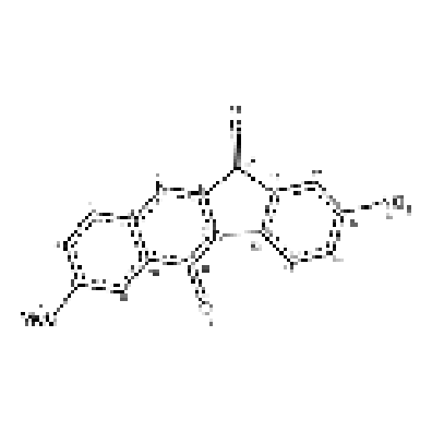 COc1ccc2nc3n(c(=O)c2c1)-c1ccc([N+](=O)[O-])cc1C3=O